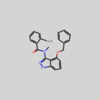 CN(C(=O)c1ccccc1C=O)c1n[nH]c2cccc(OCc3ccccc3)c12